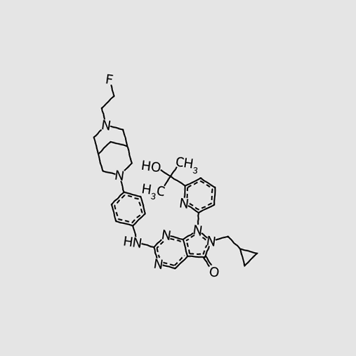 CC(C)(O)c1cccc(-n2c3nc(Nc4ccc(N5CC6CC(CN(CCF)C6)C5)cc4)ncc3c(=O)n2CC2CC2)n1